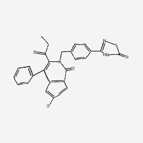 CCC(=O)c1c(-c2ccccc2)c2cc(Cl)ccc2c(=O)n1Cc1ccc(-c2nsc(=O)[nH]2)cc1